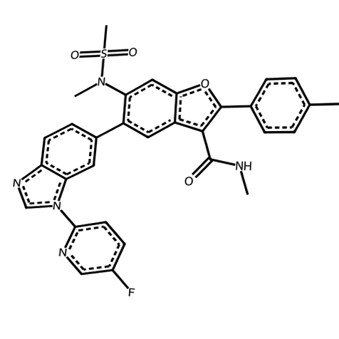 CNC(=O)c1c(-c2ccc(C)cc2)oc2cc(N(C)S(C)(=O)=O)c(-c3ccc4ncn(-c5ccc(F)cn5)c4c3)cc12